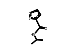 CC(C)NC(=O)c1ccns1